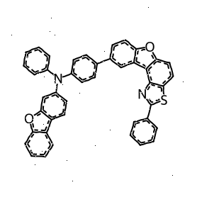 c1ccc(-c2nc3c(ccc4oc5ccc(-c6ccc(N(c7ccccc7)c7ccc8c(c7)oc7ccccc78)cc6)cc5c43)s2)cc1